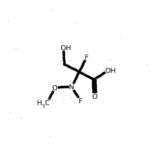 CON(F)C(F)(CO)C(=O)O